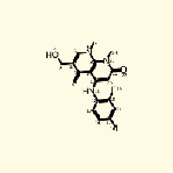 C=C1C(CO)=CN(C)c2c1c(Nc1ccc(I)cc1F)cc(=O)n2C